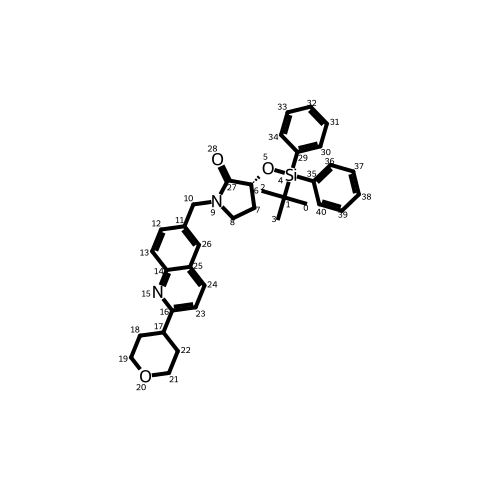 CC(C)(C)[Si](O[C@@H]1CCN(Cc2ccc3nc(C4CCOCC4)ccc3c2)C1=O)(c1ccccc1)c1ccccc1